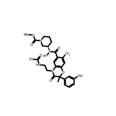 CCC(=O)NCCN1C(=O)C(C)(c2cccc(O)c2)Oc2cc(C(F)(F)F)c(C(=O)N(C(C)C)[C@@H]3CCCN(C(=O)OC(C)(C)C)C3)cc21